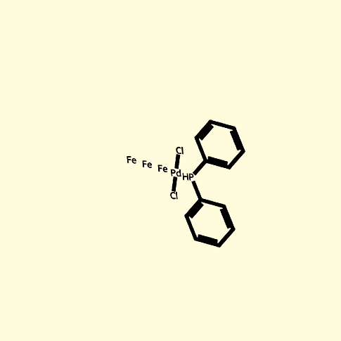 [Cl][Pd][Cl].[Fe].[Fe].[Fe].c1ccc(Pc2ccccc2)cc1